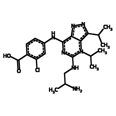 CC(N)CNc1nc(Nc2ccc(C(=O)O)c(Cl)c2)c2nnc(C(C)C)c-2n1C(C)C